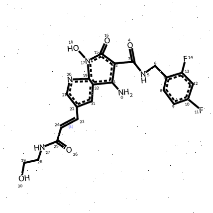 Nc1c(C(=O)NCc2ccc(F)cc2F)c(=O)n(O)c2ncc(/C=C/C(=O)NCCO)cc12